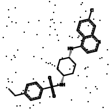 CCc1ccc(S(=O)(=O)N[C@H]2CC[C@@H](Nc3ccnc4cc(Cl)ccc34)CC2)cc1